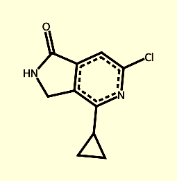 O=C1NCc2c1cc(Cl)nc2C1CC1